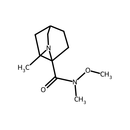 CON(C)C(=O)C12CCC(CC1)CN2C